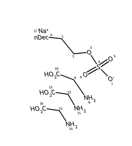 CCCCCCCCCCCCOS(=O)(=O)[O-].NCC(=O)O.NCC(=O)O.NCC(=O)O.[Na+]